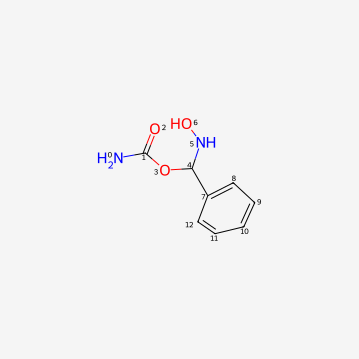 NC(=O)OC(NO)c1ccccc1